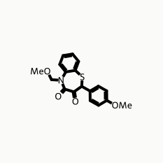 COCN1C(=O)C(=O)C(c2ccc(OC)cc2)Sc2ccccc21